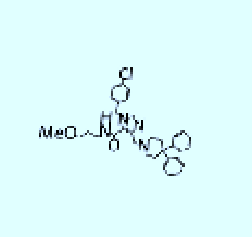 COCCCNC(=O)c1c(CN2CCC(c3ccccc3)(c3ccccc3)CC2)ncn1Cc1ccc(Cl)cc1